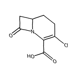 O=C(O)C1=C(Cl)CCC2CC(=O)N12